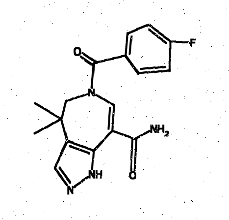 CC1(C)CN(C(=O)c2ccc(F)cc2)C=C(C(N)=O)c2[nH]ncc21